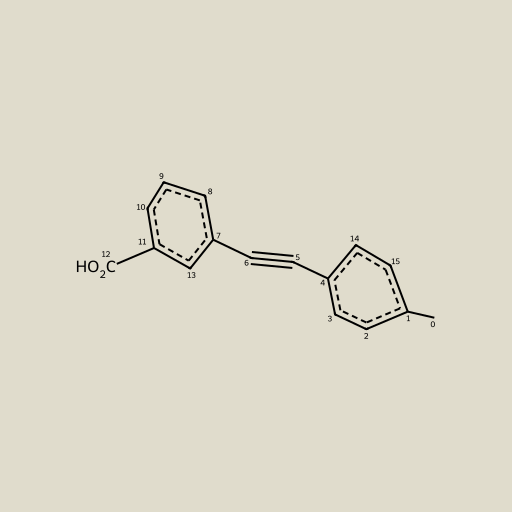 Cc1ccc(C#Cc2cccc(C(=O)O)c2)cc1